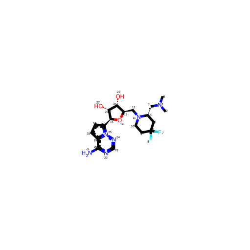 CN(C)C[C@@H]1CC(F)(F)CCN1C[C@H]1O[C@@H](c2ccc3c(N)ncnn23)[C@H](O)[C@@H]1O